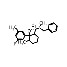 COC1(c2cc(C)cc(F)c2)C(C)CCCC1CN(C)Cc1ccccc1